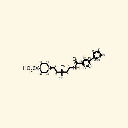 O=C(NCCC(F)(F)CCN1CCN(C(=O)O)CC1)c1cc(-c2cccs2)on1